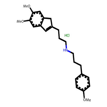 COc1ccc(CCCNCCCC2=Cc3cc(OC)c(OC)cc3C2)cc1.Cl